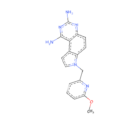 COc1cccc(Cn2ccc3c4c(N)nc(N)nc4ccc32)n1